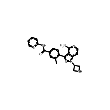 Cc1cc(C(=O)Nc2ccccn2)ccc1-c1nn(C2CNC2)c2ccnc(N)c12